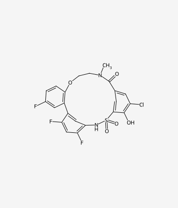 CN1CCOc2ccc(F)cc2-c2cc(c(F)cc2F)NS(=O)(=O)c2cc(cc(Cl)c2O)C1=O